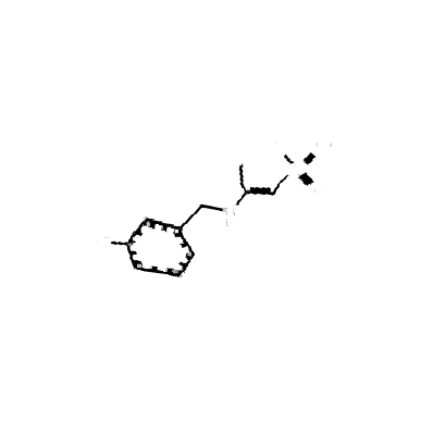 C/C(=C\S(=O)(=O)F)NCc1cccc(F)c1